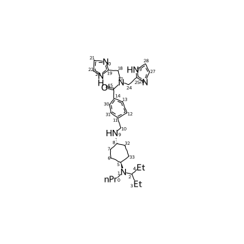 CCCN(C(CC)CC)[C@H]1CC[C@H](NCc2ccc(C(=O)N(Cc3ncc[nH]3)Cc3ncc[nH]3)cc2)CC1